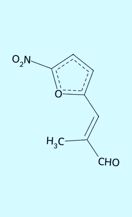 CC(C=O)=Cc1ccc([N+](=O)[O-])o1